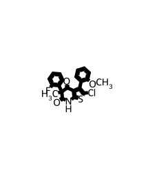 COc1ccccc1-c1c(Cl)sc2c1C(=O)C(C)(c1ccccc1F)C(=O)N2